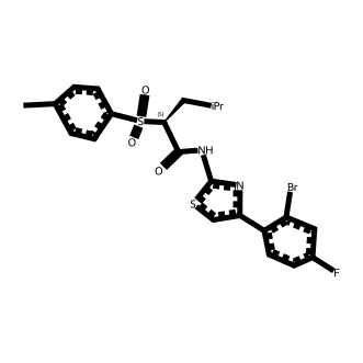 Cc1ccc(S(=O)(=O)[C@@H](CC(C)C)C(=O)Nc2nc(-c3ccc(F)cc3Br)cs2)cc1